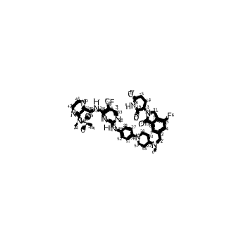 CN(Cc1cc(F)c2c(c1)C(=O)N(C1CCC(=O)NC1=O)C2)C1CCN(c2ccc(Nc3ncc(C(F)(F)F)c(NCc4nccnc4N(C)S(C)(=O)=O)n3)cc2)CC1